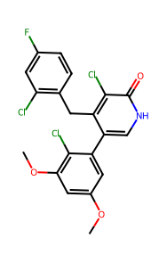 COc1cc(OC)c(Cl)c(-c2c[nH]c(=O)c(Cl)c2Cc2ccc(F)cc2Cl)c1